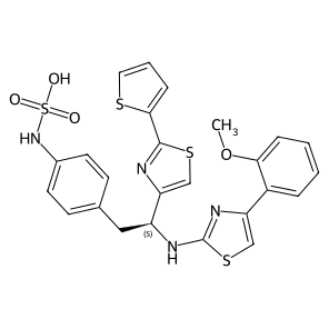 COc1ccccc1-c1csc(N[C@@H](Cc2ccc(NS(=O)(=O)O)cc2)c2csc(-c3cccs3)n2)n1